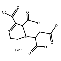 O=C([O-])CC(C(=O)[O-])N1CCN=C(C(=O)[O-])C1C(=O)[O-].[Fe+4]